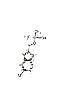 CC(C)(C)[Si](C)(C)OCc1cc2nc(Cl)ncc2s1